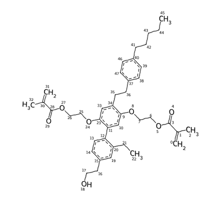 C=C(C)C(=O)OCCOc1cc(-c2ccc(CCO)cc2CC)c(OCCOC(=O)C(=C)C)cc1CCc1ccc(CCCCC)cc1